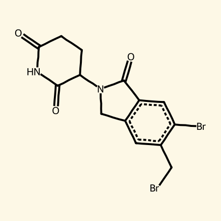 O=C1CCC(N2Cc3cc(CBr)c(Br)cc3C2=O)C(=O)N1